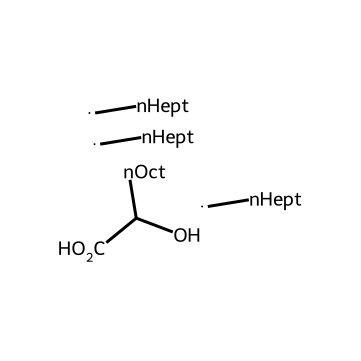 [CH2]CCCCCCCC(O)C(=O)O.[CH2]CCCCCC[CH2].[CH2]CCCCCC[CH2].[CH2]CCCCCC[CH2]